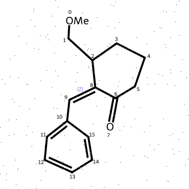 COCC1CCCC(=O)/C1=C\c1ccccc1